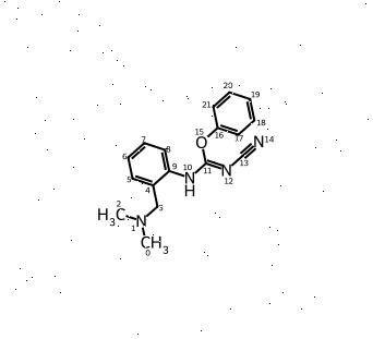 CN(C)Cc1ccccc1N/C(=N/C#N)Oc1ccccc1